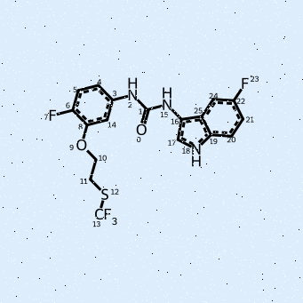 O=C(Nc1ccc(F)c(OCCSC(F)(F)F)c1)Nc1c[nH]c2ccc(F)cc12